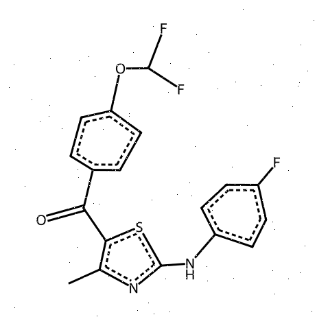 Cc1nc(Nc2ccc(F)cc2)sc1C(=O)c1ccc(OC(F)F)cc1